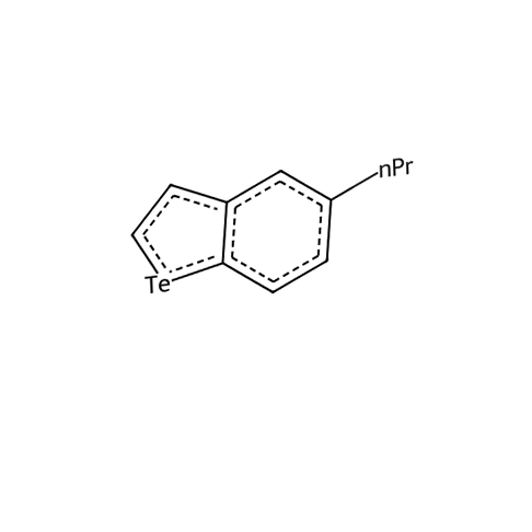 CCCc1ccc2[te]ccc2c1